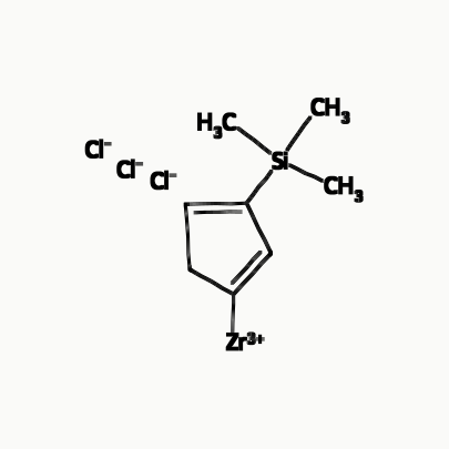 C[Si](C)(C)C1=CC[C]([Zr+3])=C1.[Cl-].[Cl-].[Cl-]